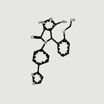 CC(C)(C)c1n[nH]c2c1C(c1ccccc1OCC#N)N(c1ccc(-c3ccon3)cc1)C2=O